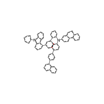 c1ccc(-n2c3ccccc3c3c(-c4cccc(-c5ccccc5N(c5ccc(-c6ccc(-c7cccc8ccccc78)cc6)cc5)c5ccc6c(ccc7ccccc76)c5)c4)cccc32)cc1